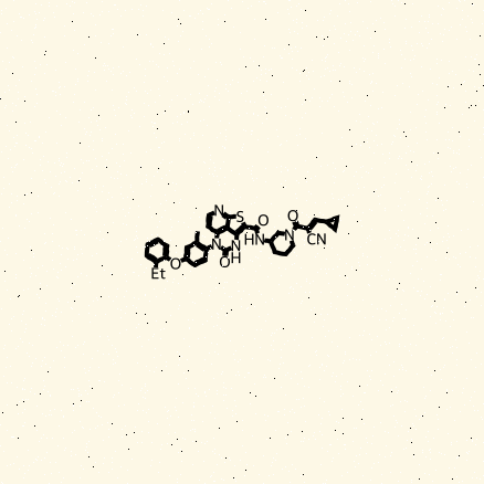 CCc1ccccc1Oc1ccc(N2C(=O)Nc3c(C(=O)NC4CCCN(C(=O)/C(C#N)=C/C5CC5)C4)sc4nccc2c34)c(C)c1